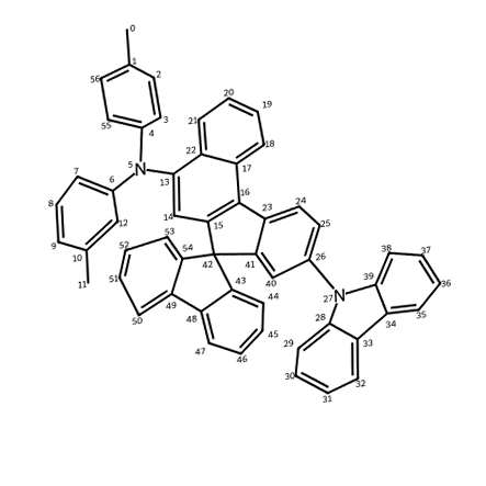 Cc1ccc(N(c2cccc(C)c2)c2cc3c(c4ccccc24)-c2ccc(-n4c5ccccc5c5ccccc54)cc2C32c3ccccc3-c3ccccc32)cc1